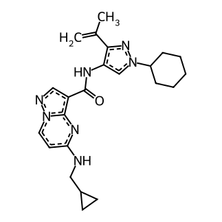 C=C(C)c1nn(C2CCCCC2)cc1NC(=O)c1cnn2ccc(NCC3CC3)nc12